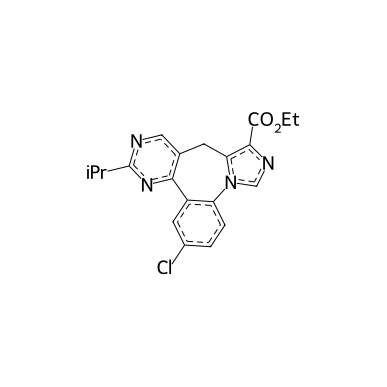 CCOC(=O)c1ncn2c1Cc1cnc(C(C)C)nc1-c1cc(Cl)ccc1-2